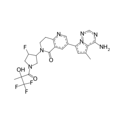 Cc1cc(-c2cnc3c(c2)C(=O)N(C2CN(C(=O)C(C)(O)C(F)(F)F)CC2F)CC3)n2ncnc(N)c12